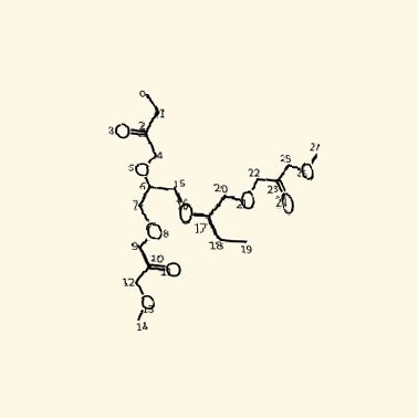 CCC(=O)COC(COCC(=O)COC)COC(CC)COCC(=O)COC